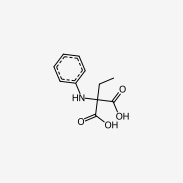 CCC(Nc1ccccc1)(C(=O)O)C(=O)O